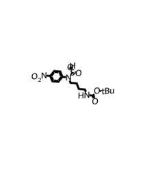 CC(C)(C)OC(=O)NCCCCN(c1ccc([N+](=O)[O-])cc1)[SH](=O)=O